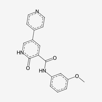 COc1cccc(NC(=O)c2cc(-c3ccncc3)c[nH]c2=O)c1